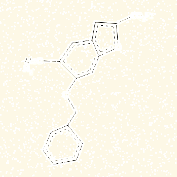 CCOC(=O)c1cc2cc(OC)c(OCc3ccccc3)cc2o1.S